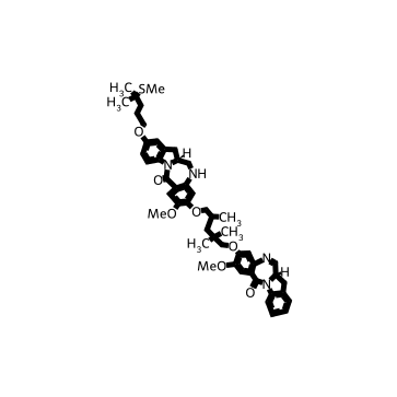 COc1cc2c(cc1OCC(C)CC(C)(C)COc1cc3c(cc1OC)C(=O)N1c4ccccc4C[C@H]1C=N3)NC[C@@H]1Cc3cc(OCCCC(C)(C)SC)ccc3N1C2=O